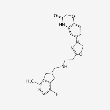 Cc1ncc(F)c2c1CC(CNCCC1=NN(c3ccc4c(c3)NC(=O)CO4)CO1)C2